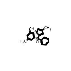 CC1=CCC([Si](C)(c2ccccc2)c2cc(C)cc(C)c2)=C1